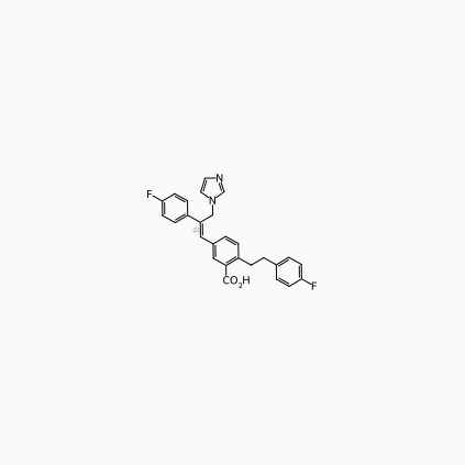 O=C(O)c1cc(/C=C(\Cn2ccnc2)c2ccc(F)cc2)ccc1CCc1ccc(F)cc1